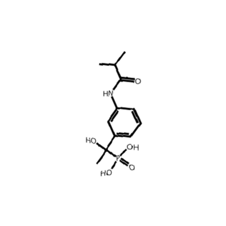 CC(C)C(=O)Nc1cccc(C(C)(O)P(=O)(O)O)c1